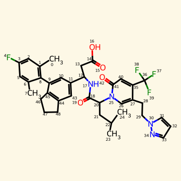 Cc1cc(F)cc(C)c1-c1cc(C(CC(=O)O)NC(=O)C(CC(C)C)n2cc(CCn3cccn3)c(C(F)(F)F)cc2=O)cc2c1CCC2